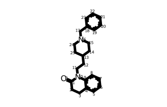 O=C1CCc2ccccc2N1CCC1CCN(Cc2ccccc2)CC1